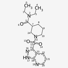 CCN(CC)C(=O)C1CCCN(S(=O)(=O)c2n[nH]c3ncccc23)C1